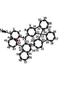 N#Cc1ccc(N(c2ccc3c(c2)C2(c4ccccc4-c4ccccc42)c2ccccc2-3)c2ccc3ccccc3c2-c2ccccc2)cc1